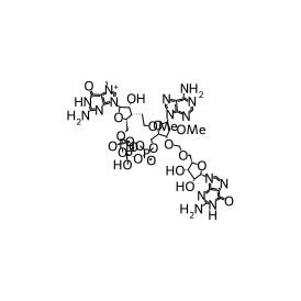 COCC[C@H]1[C@@H](O)[C@H](n2c[n+](C)c3c(=O)[nH]c(N)nc32)O[C@@H]1COP(=O)([O-])OP(=O)(O)OP(=O)(O)OCC1O[C@@H](n2cnc3c(N)ncnc32)[C@H](OC)[C@@H]1OCOC[C@H]1O[C@@H](n2cnc3c(=O)[nH]c(N)nc32)[C@H](O)[C@@H]1O